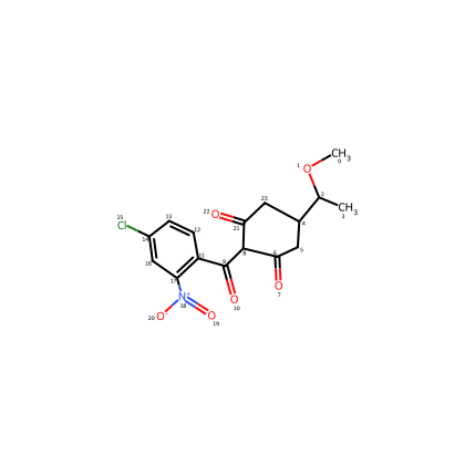 COC(C)C1CC(=O)C(C(=O)c2ccc(Cl)cc2[N+](=O)[O-])C(=O)C1